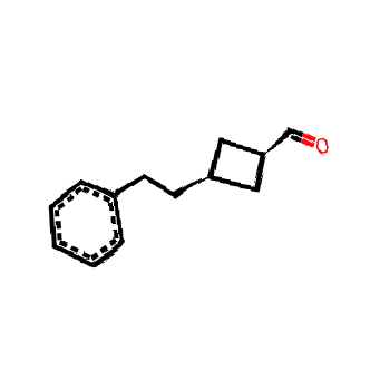 O=C[C@H]1C[C@@H](CCc2ccccc2)C1